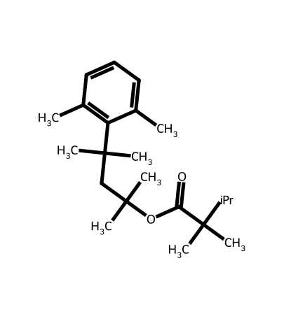 Cc1cccc(C)c1C(C)(C)CC(C)(C)OC(=O)C(C)(C)C(C)C